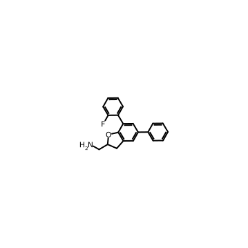 NCC1Cc2cc(-c3ccccc3)cc(-c3ccccc3F)c2O1